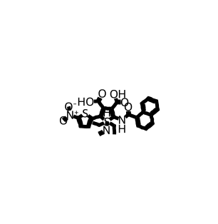 C=N[SH]1(CC)(CC)C(NC(=O)c2cccc3ccccc23)=C(C(=O)O)C(C(=O)O)=C1c1ccc([N+](=O)[O-])s1